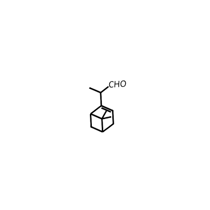 CC(C=O)C1=CCC2CC1C2(C)C